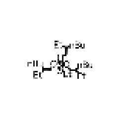 CCCCC(CC)CO[Si](OCC)(OCC(CC)CCCC)OCC(CC)CCCC